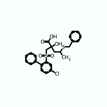 CC(CC(O)(CS(=O)(=O)c1cc(Cl)ccc1-c1ccccc1)C(=O)O)SCc1ccccc1